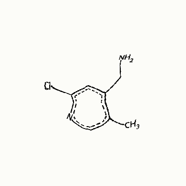 Cc1cnc(Cl)cc1CN